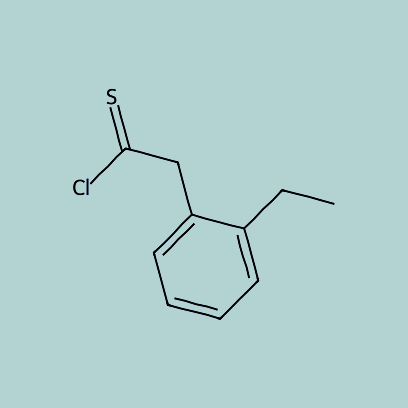 CCc1ccccc1CC(=S)Cl